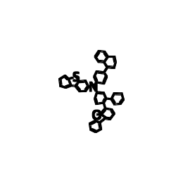 c1ccc(-c2cc(N(c3ccc(-c4cccc5ccccc45)cc3)c3ccc4c(c3)sc3ccccc34)ccc2-c2cccc3c2oc2ccccc23)cc1